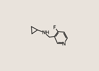 Fc1ccncc1CNC1CC1